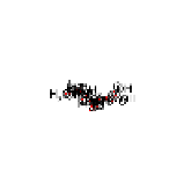 CNC(=O)C[C@H](N)c1nc(C(=O)NC(c2nc(C(=O)NCC(=O)N[C@H](c3nc(-c4nc(-c5nc(-c6nc(N(CCCCC(=O)O)C(=O)O[C@H]7CC[C@H](C(=O)O)C7)cs6)ccc5-c5nc(C=O)cs5)cs4)cs3)[C@@H](O)c3ccccc3)c(COC)s2)C(C)C)c(C)s1